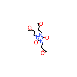 O=c1n(CCC2CO2)c(=O)n(CCC2CO2)n1CCC1CO1